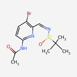 CC(=O)Nc1ccc(Br)c(/C=N\[S+]([O-])C(C)(C)C)n1